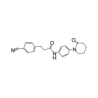 N#Cc1ccc(CCC(=O)Nc2ccc(N3CCCCC3=O)cc2)cc1